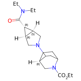 CCOC(=O)N1C[C@H]2CCC1CC2N1C[C@@H]2[C@H](C1)[C@H]2C(=O)N(CC)CC